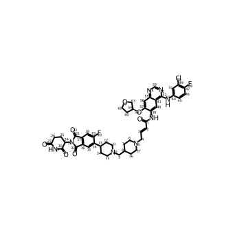 O=C(/C=C/CN1CCC(CN2CCC(c3cc4c(cc3F)C(=O)N(C3CCC(=O)NC3=O)C4=O)CC2)CC1)Nc1cc2c(Nc3ccc(F)c(Cl)c3)ncnc2cc1O[C@H]1CCOC1